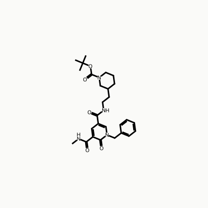 CNC(=O)c1cc(C(=O)NCCC2CCCN(C(=O)OC(C)(C)C)C2)cn(Cc2ccccc2)c1=O